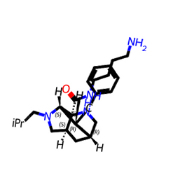 CC(C)CN1C[C@@H]2C[C@H]3CN[C@]2(C(=O)NCCCCN)[C@@H]1[C@@H]3Cc1ccccc1